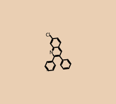 Clc1ccc2cc(-c3ccccc3)c(-c3cc[c]cc3)nc2c1